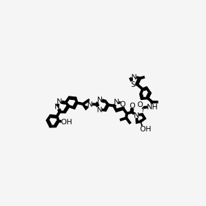 Cc1ncsc1-c1ccc(C(C)NC(=O)[C@@H]2C[C@@H](O)CN2C(=O)C(c2cc(-c3cnc(N4CC(c5ccc6nnc(-c7ccccc7O)cc6c5)C4)nc3)no2)C(C)C)cc1